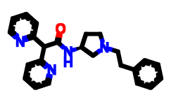 O=C(N[C@H]1CCN(CCc2ccccc2)C1)C(c1ccccn1)c1ccccn1